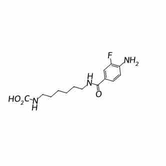 Nc1ccc(C(=O)NCCCCCCNC(=O)O)cc1F